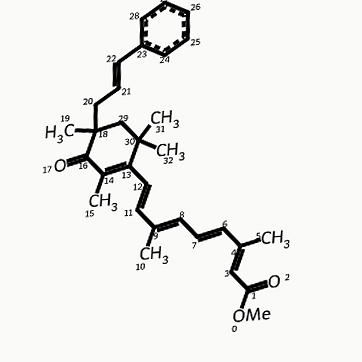 COC(=O)C=C(C)C=CC=C(C)C=CC1=C(C)C(=O)C(C)(CC=Cc2ccccc2)CC1(C)C